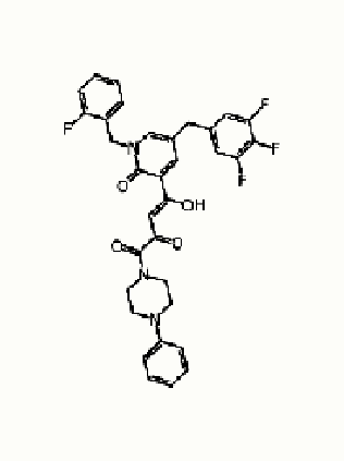 O=C(/C=C(\O)c1cc(Cc2cc(F)c(F)c(F)c2)cn(Cc2ccccc2F)c1=O)C(=O)N1CCN(c2ccccc2)CC1